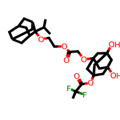 CC(C)C1(OCCOC(=O)COC23CC4(O)CC(O)(C2)CC(OC(=O)C(C)(F)F)(C4)C3)C2CC3CC(C2)CC1C3